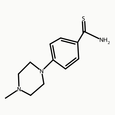 CN1CCN(c2ccc(C(N)=S)cc2)CC1